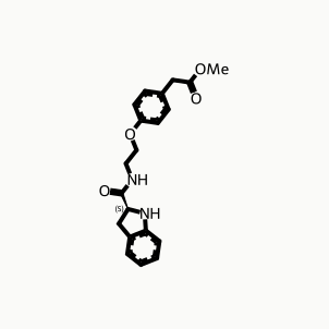 COC(=O)Cc1ccc(OCCNC(=O)[C@@H]2Cc3ccccc3N2)cc1